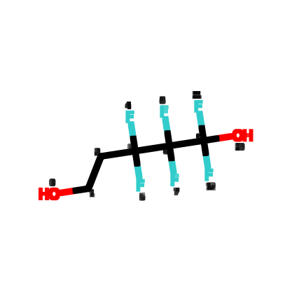 OCCC(F)(F)C(F)(F)C(O)(F)F